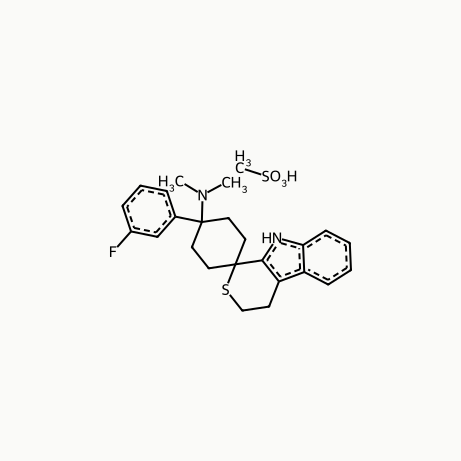 CN(C)C1(c2cccc(F)c2)CCC2(CC1)SCCc1c2[nH]c2ccccc12.CS(=O)(=O)O